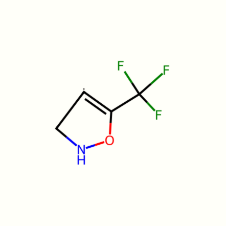 FC(F)(F)C1=[C]CNO1